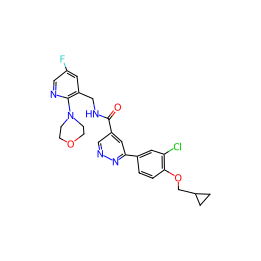 O=C(NCc1cc(F)cnc1N1CCOCC1)c1cnnc(-c2ccc(OCC3CC3)c(Cl)c2)c1